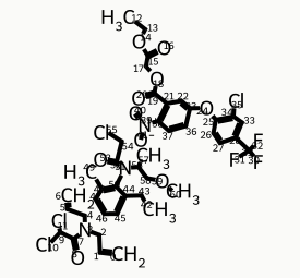 C=CCN(CC=C)C(=O)C(Cl)Cl.CCOC(=O)COC(=O)c1cc(Oc2ccc(C(F)(F)F)cc2Cl)ccc1[N+](=O)[O-].CCc1cccc(C)c1N(C(=O)CCl)C(C)COC